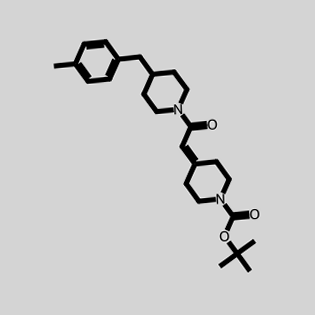 Cc1ccc(CC2CCN(C(=O)C=C3CCN(C(=O)OC(C)(C)C)CC3)CC2)cc1